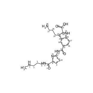 CNCCCNC(=O)c1csc(NC(=O)c2ccc3[nH]c(C(=O)O)c(CCCN)c3c2)n1